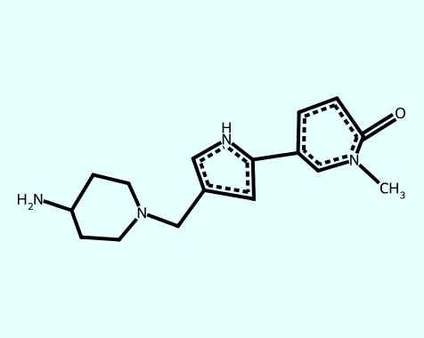 Cn1cc(-c2cc(CN3CCC(N)CC3)c[nH]2)ccc1=O